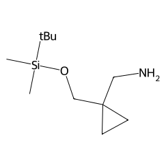 CC(C)(C)[Si](C)(C)OCC1(CN)CC1